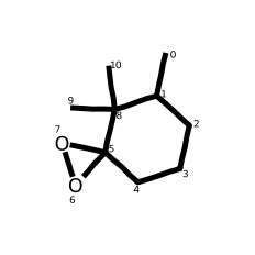 CC1CCCC2(OO2)C1(C)C